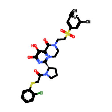 C#C/C=C(\C=C(/C)C#N)S(=O)(=O)CCN1CCn2c([C@@H]3CCCN3C(=O)CSc3ccccc3Cl)nc(=O)c(O)c2C1=O